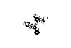 NCc1ccnc(OC[C@H]2C[C@@H](c3ccccc3F)CN2S(=O)(=O)N2CCS(=O)(=O)CC2)c1.O=C(O)C(F)(F)F